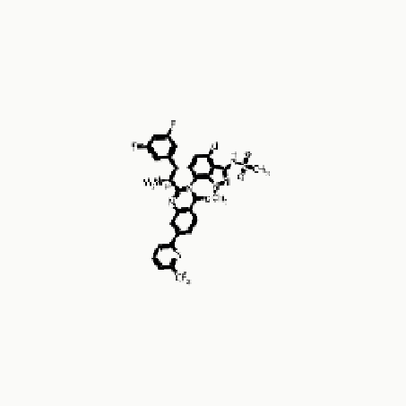 Cn1nc(NS(C)(=O)=O)c2c(Cl)ccc(-n3c([C@@H](N)Cc4cc(F)cc(F)c4)nc4cc(-c5cccc(C(F)(F)F)n5)ccc4c3=O)c21